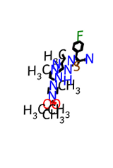 CCc1nn2c(C)cc(N3CCN(C(=O)OC(C)(C)C)CC3C)nc2c1Nc1nc(-c2ccc(F)cc2)c(C#N)s1